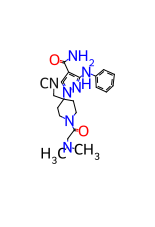 CN(C)CC(=O)N1CCC(CC#N)(n2cc(C(N)=O)c(Nc3ccccc3)n2)CC1